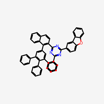 c1ccc(-c2nc(-c3ccc4oc5ccccc5c4c3)nc(-c3ccc4ccccc4c3-c3cc(-c4ccccc4)c(-c4ccccc4)c(-c4ccccc4)c3)n2)cc1